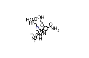 CCn1nc(C)cc1C(=O)Nc1nc2cc(C(N)=O)cc(OCCCO)c2n1C/C=C/CNC(=O)O